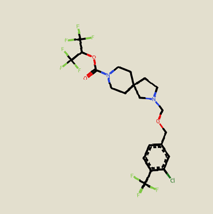 O=C(OC(C(F)(F)F)C(F)(F)F)N1CCC2(CCN(COCc3ccc(C(F)(F)F)c(Cl)c3)C2)CC1